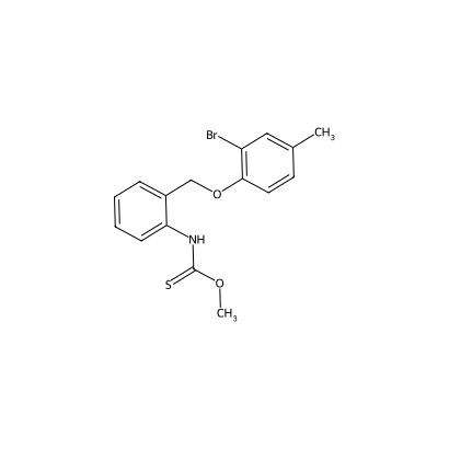 COC(=S)Nc1ccccc1COc1ccc(C)cc1Br